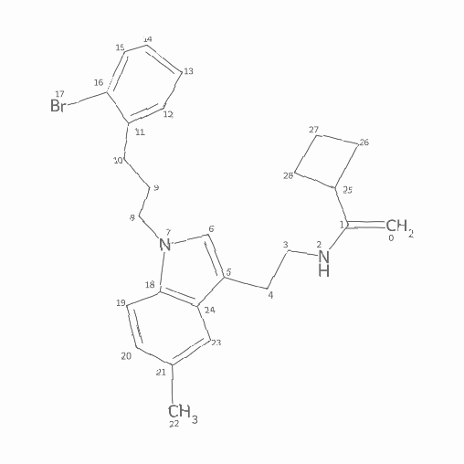 C=C(NCCc1cn(CCCc2ccccc2Br)c2ccc(C)cc12)C1CCC1